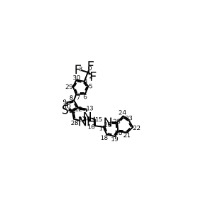 FC(F)(F)c1ccc(-c2csc3c2=CN(CCc2ccc4ccccc4n2)NC=3)cc1